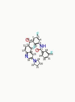 O=C(Nc1cc(F)cc(C(=O)c2ccc3ncc(N4CCCC4)cc3c2)c1F)c1cccc(F)c1